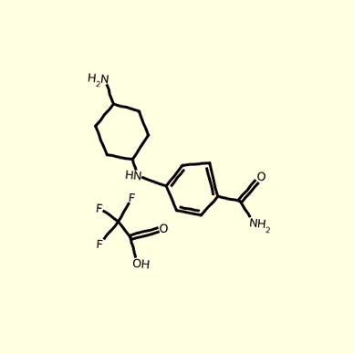 NC(=O)c1ccc(NC2CCC(N)CC2)cc1.O=C(O)C(F)(F)F